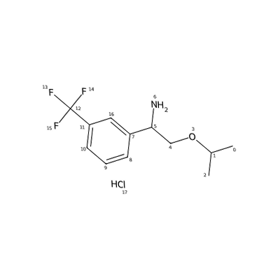 CC(C)OCC(N)c1cccc(C(F)(F)F)c1.Cl